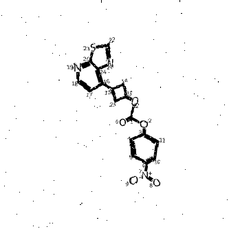 O=C(Oc1ccc([N+](=O)[O-])cc1)OC1CC(c2ccnc3scnc23)C1